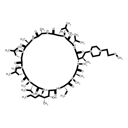 CCCC[C@@H](C)[C@@H](O)[C@H]1C(=O)N[C@@H](CC)C(=O)N(C)[C@H](C)C(=O)N(C)[C@@H]([C@H](C)CN2CCN(CCOC)CC2)C(=O)N[C@@H](C(C)C)C(=O)N(C)[C@@H](CC(C)C)C(=O)N[C@@H](C)C(=O)N[C@H](C)C(=O)N(C)[C@@H](CC(C)C)C(=O)N(C)[C@@H](CC(C)C)C(=O)N(C)[C@@H](C(C)C)C(=O)N1C